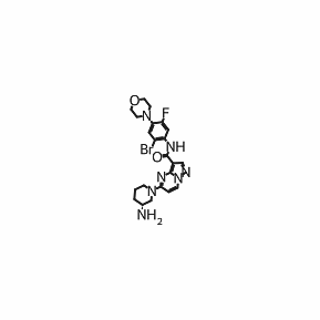 N[C@@H]1CCCN(c2ccn3ncc(C(=O)Nc4cc(F)c(N5CCOCC5)cc4Br)c3n2)C1